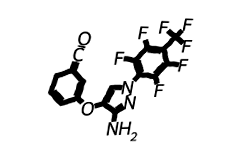 Nc1nn(-c2c(F)c(F)c(C(F)(F)F)c(F)c2F)cc1OC1=CC(=C=O)CC=C1